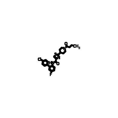 CCCC(=O)N1CCC(c2nc(C(=O)Nc3ccc(F)cc3-c3ccc(Cl)cc3)cs2)CC1